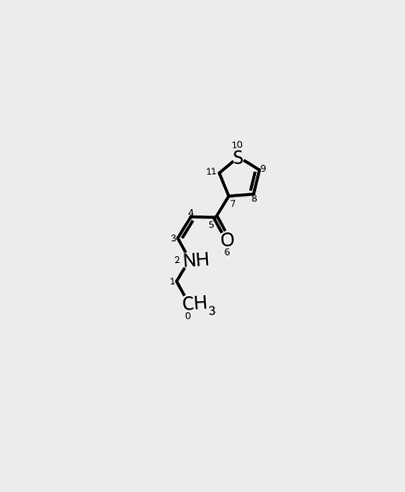 CCN/C=C\C(=O)C1C=CSC1